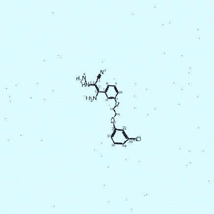 N#C/C(NN)=C(/N)c1cccc(OCCOc2cccc(Cl)c2)c1